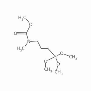 COC(=O)N(C)CCC[Si](OC)(OC)OC